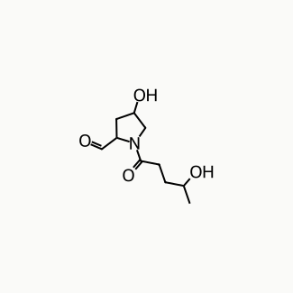 CC(O)CCC(=O)N1CC(O)CC1C=O